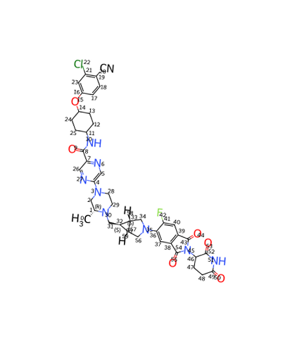 C[C@@H]1CN(c2cnc(C(=O)NC3CCC(Oc4ccc(C#N)c(Cl)c4)CC3)cn2)CCN1C[C@H]1[C@@H]2CN(c3cc4c(cc3F)C(=O)N(C3CCC(=O)NC3=O)C4=O)C[C@@H]21